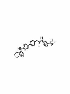 O=C(Cc1ccc(-c2cnc(Nc3cnn4c3CCCC4)nc2)cc1)Nc1cc(C2(C(F)(F)F)CC2)on1